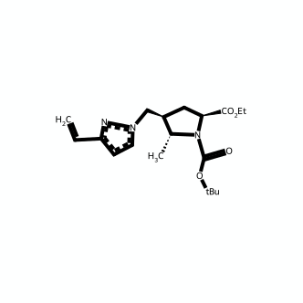 C=Cc1ccn(C[C@H]2C[C@@H](C(=O)OCC)N(C(=O)OC(C)(C)C)[C@@H]2C)n1